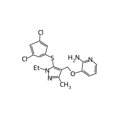 CCn1nc(C)c(COc2cccnc2N)c1Sc1cc(Cl)cc(Cl)c1